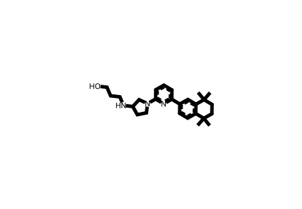 CC1(C)CCC(C)(C)c2cc(-c3cccc(N4CCC(NCCCO)C4)n3)ccc21